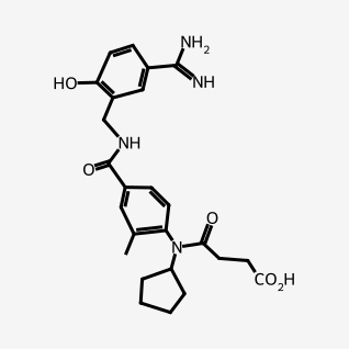 Cc1cc(C(=O)NCc2cc(C(=N)N)ccc2O)ccc1N(C(=O)CCC(=O)O)C1CCCC1